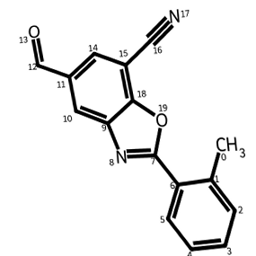 Cc1ccccc1-c1nc2cc(C=O)cc(C#N)c2o1